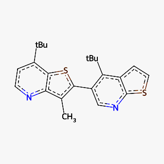 Cc1c(-c2cnc3sccc3c2C(C)(C)C)sc2c(C(C)(C)C)ccnc12